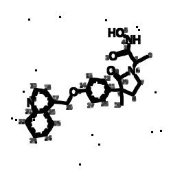 CC(C(=O)NO)N1CCC(C)(c2ccc(OCc3ccnc4ccccc34)cc2)C1=O